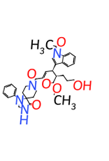 CCO[C@H]1OC(C(=O)N2CCC3(CC2)C(=O)NCN3c2ccccc2)=C[C@@H](c2cn(C(C)=O)c3ccccc23)[C@H]1CCCO